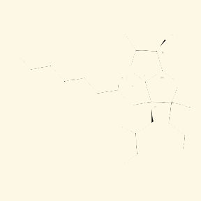 CC1O[C@H]2[C@H](OC(C)(CCO)[C@]2(CC(O)CO)OC(O)CCCCCO)[C@@H]1O